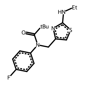 CCNc1nc(CN(C(=O)C(C)(C)C)c2ccc(F)cc2)cs1